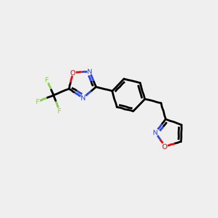 FC(F)(F)c1nc(-c2ccc(Cc3ccon3)cc2)no1